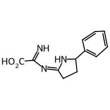 N=C(/N=C1/CCC(c2ccccc2)N1)C(=O)O